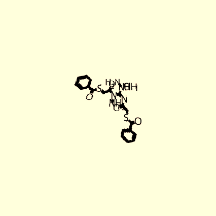 Cl.NNC(=NC(=O)CSC(=O)c1ccccc1)N(N)C(=O)CSC(=O)c1ccccc1